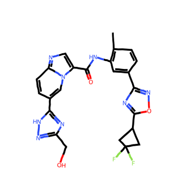 Cc1ccc(-c2noc(C3CC(F)(F)C3)n2)cc1NC(=O)c1cnc2ccc(-c3nc(CO)n[nH]3)cn12